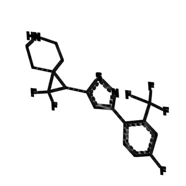 Fc1ccc(-c2cc(C3C(F)(F)C34CCNCC4)sn2)c(C(F)(F)F)c1